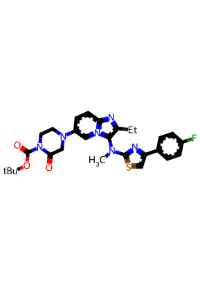 CCc1nc2ccc(N3CCN(C(=O)OC(C)(C)C)C(=O)C3)cn2c1N(C)c1nc(-c2ccc(F)cc2)cs1